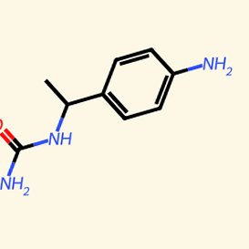 CC(NC(N)=O)c1ccc(N)cc1